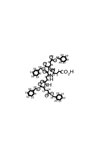 O=C(O)CCC(=O)NC(CCC(=O)NC(CCC(=O)OCc1ccccc1)C(=O)OCc1ccccc1)C(=O)NC(CCC(=O)OCc1ccccc1)C(=O)OCc1ccccc1